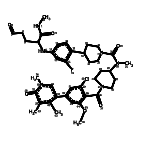 CNC(=O)C(CCC=O)Nc1ccc(C2CCN(C(=O)N(C)C3CCN(C(=O)c4c(Cl)cc(-c5cn(C)c(=O)c(C)c5C)cc4OC)CC3)CC2)c(F)c1